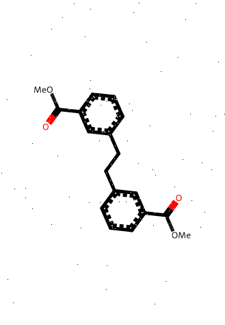 COC(=O)c1cccc(CCc2cccc(C(=O)OC)c2)c1